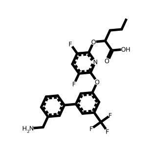 CCCC(Oc1nc(Oc2cc(-c3cccc(CN)c3)cc(C(F)(F)F)c2)c(F)cc1F)C(=O)O